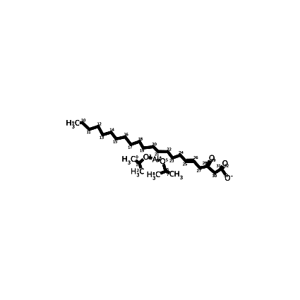 CC(C)[O][Al+][O]C(C)C.CCCCCCCCCCCCCCCCC=CCC(=O)CC(=O)[O-]